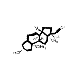 C#C[C@]1(O)CC[C@H]2[C@@H]3CCC4C[C@@H](O)C=C[C@]4(C)[C@H]3CC[C@@]21C